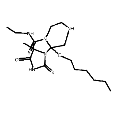 CCCCCCCC1(N2C(=S)NC(=O)C2(C)C)CNCCN1C(=S)NCC